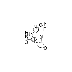 N#C[C@H]1CC(=O)CC[C@@H]1n1cc(C(N)=O)c(Nc2ccc(OC(F)F)nc2)n1